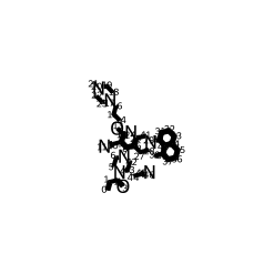 C=CC(=O)N1CCN(c2c(C#N)c(OCCCN3CCN(C)CC3)nc3c2CCN(c2cccc4cccc(C)c24)C3)C[C@@H]1CC#N